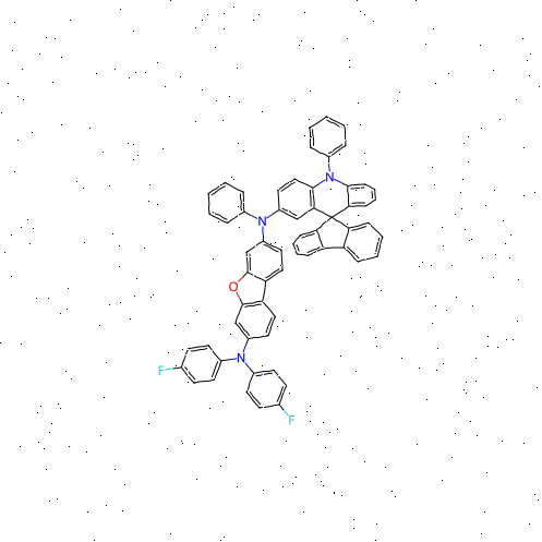 Fc1ccc(N(c2ccc(F)cc2)c2ccc3c(c2)oc2cc(N(c4ccccc4)c4ccc5c(c4)C4(c6ccccc6-c6ccccc64)c4ccccc4N5c4ccccc4)ccc23)cc1